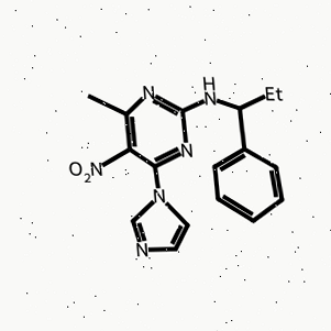 CCC(Nc1nc(C)c([N+](=O)[O-])c(-n2ccnc2)n1)c1ccccc1